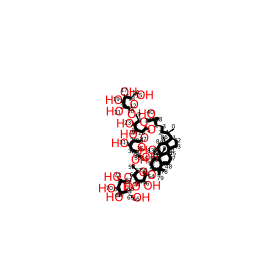 C[C@H](CC[C@@H](O[C@@H]1O[C@H](CO[C@H]2O[C@H](CO)[C@@H](O)[C@H](O)[C@H]2O)[C@@H](O)[C@H](O)[C@H]1O[C@H]1C[C@@H](O)C[C@@H](CO)O1)C(C)(C)O)[C@H]1CC[C@@]2(C)C3CC=C4[C@@H](CC[C@H](O[C@@H]5O[C@H](CO)[C@@H](O[C@@H]6O[C@H](CO)[C@@H](O)[C@H](O)[C@H]6O)[C@H](O)[C@H]5O)C4(C)C)[C@]3(C)[C@H](O)C[C@]12C